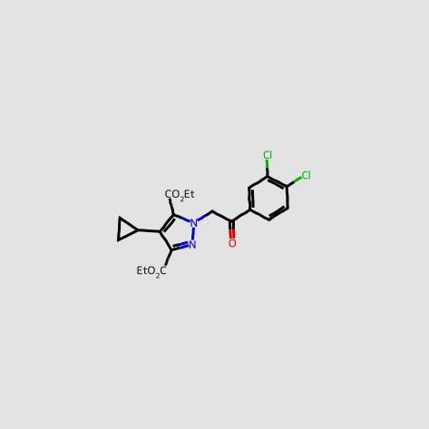 CCOC(=O)c1nn(CC(=O)c2ccc(Cl)c(Cl)c2)c(C(=O)OCC)c1C1CC1